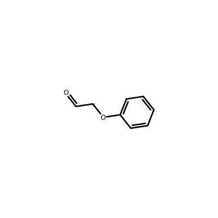 O=C[CH]Oc1ccccc1